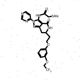 CSCC(=O)Nc1c2c(nn1-c1ccncn1)CC(CCOc1cccc(OCC(F)(F)F)c1)NC2=O